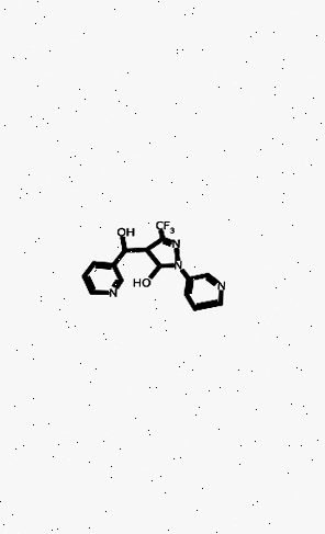 OC(c1cccnc1)C1C(C(F)(F)F)=NN(c2cccnc2)C1O